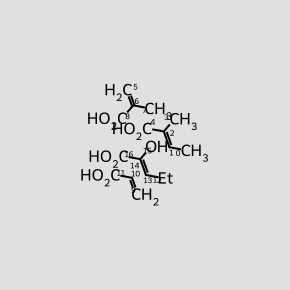 C/C=C(\C)C(=O)O.C=C(C)C(=O)O.C=CC(=O)O.CC/C=C(\O)C(=O)O